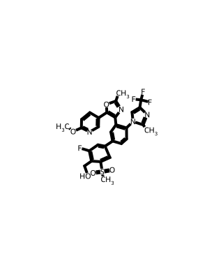 COc1ccc(-c2oc(C)nc2-c2cc(-c3cc(F)c(CO)c(S(C)(=O)=O)c3)ccc2-n2cc(C(F)(F)F)nc2C)cn1